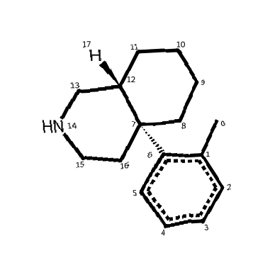 Cc1ccccc1[C@@]12CCCC[C@H]1CNCC2